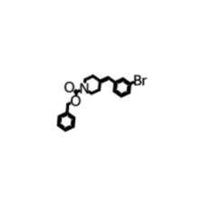 O=C(OCc1ccccc1)N1CCC(=Cc2cccc(Br)c2)CC1